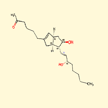 CCCCC[C@H](O)/C=C/[C@@H]1[C@H]2CC(CCCCC(C)=O)=C[C@H]2C[C@H]1O